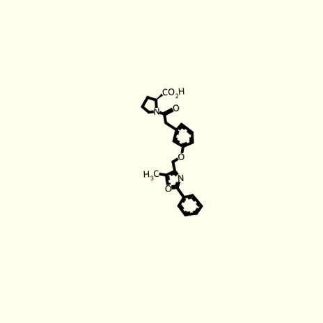 Cc1oc(-c2ccccc2)nc1COc1cccc(CC(=O)N2CCC[C@H]2C(=O)O)c1